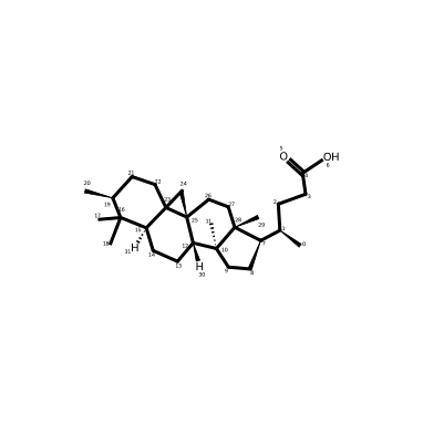 C[C@H](CCC(=O)O)[C@H]1CC[C@@]2(C)[C@@H]3CC[C@H]4C(C)(C)[C@@H](C)CCC45C[C@@]35CC[C@]12C